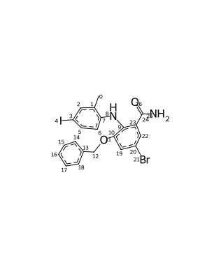 Cc1cc(I)ccc1Nc1c(OCc2ccccc2)cc(Br)cc1C(N)=O